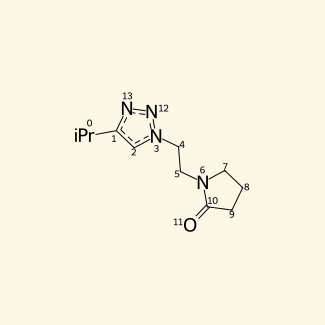 CC(C)c1cn(CCN2CCCC2=O)nn1